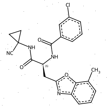 Cc1cccc2nc(C[C@H](NC(=O)c3cccc(Cl)c3)C(=O)NC3(C#N)CC3)oc12